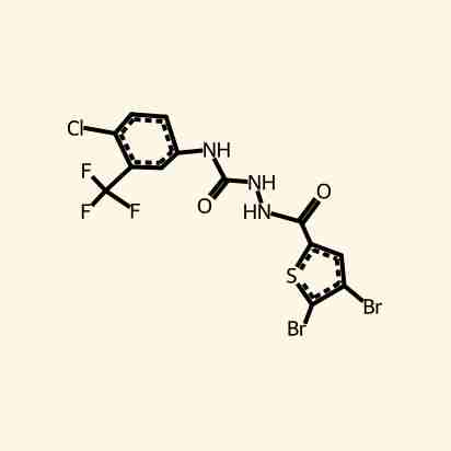 O=C(NNC(=O)c1cc(Br)c(Br)s1)Nc1ccc(Cl)c(C(F)(F)F)c1